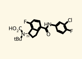 CC(C)(C)N(C(=O)O)[C@H]1CCc2c(C(=O)Nc3ccc(F)c(Cl)c3)ccc(F)c21